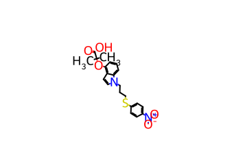 CC(C)(Oc1cccc2c1ccn2CCCSc1ccc([N+](=O)[O-])cc1)C(=O)O